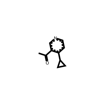 CC(=O)c1cnccc1C1CC1